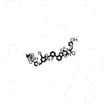 COc1nc(O[C@@H]2CCc3c(-c4cccc(-c5nc6cc(CN7CC[C@@H](C(=O)NS(=O)(=O)C8(C)CC8)C7)cc(C#N)c6o5)c4F)cccc32)c(C(F)(F)F)nc1CN1CC[C@@H](O)C1